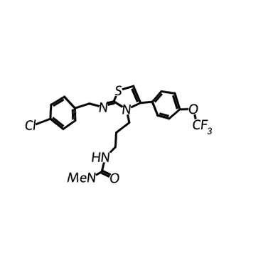 CNC(=O)NCCCn1c(-c2ccc(OC(F)(F)F)cc2)cs/c1=N\Cc1ccc(Cl)cc1